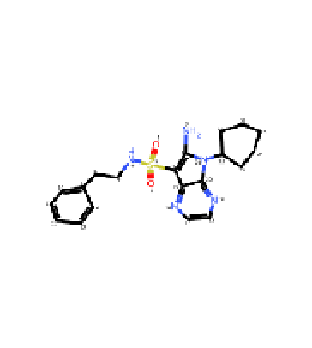 Nc1c(S(=O)(=O)NCCc2ccccc2)c2nccnc2n1C1CCCCC1